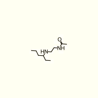 CCCC(CC)NCCNC(C)=O